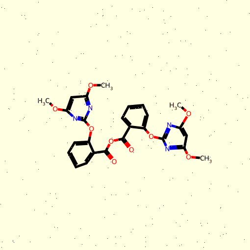 COc1cc(OC)nc(Oc2ccccc2C(=O)OC(=O)c2ccccc2Oc2nc(OC)cc(OC)n2)n1